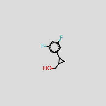 OCC1C[C]1c1cc(F)cc(F)c1